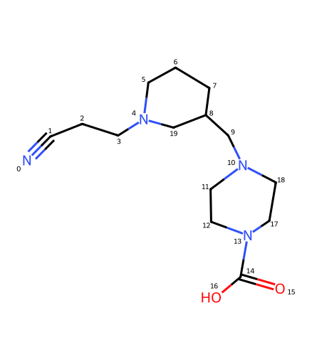 N#CCCN1CCCC(CN2CCN(C(=O)O)CC2)C1